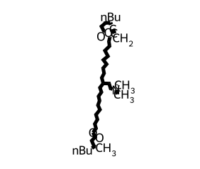 C=C=C=CC(CCCC)CC(=O)OCCCCCCCCCCC(CCCCCCCCCCOC(=O)CC(C)CCCC)CCN(C)C